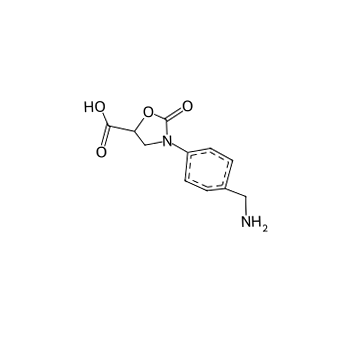 NCc1ccc(N2CC(C(=O)O)OC2=O)cc1